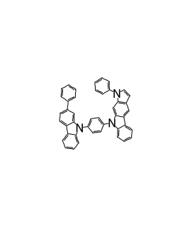 c1ccc(-c2ccc3c4ccccc4n(-c4ccc(-n5c6ccccc6c6cc7ccn(-c8ccccc8)c7cc65)cc4)c3c2)cc1